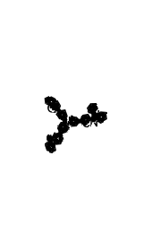 CC1(C)c2ccccc2-c2ccc(-c3ccc(N(c4ccc(-c5ccc(-c6nc7ccccc7n6-c6ccccc6)cc5)cc4)c4ccc(-c5cc6ccccc6o5)cc4)cc3)cc21